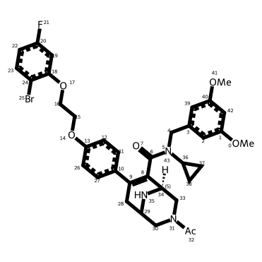 COc1cc(CN(C(=O)C2=C(c3ccc(OCCOc4cc(F)ccc4Br)cc3)CC3CN(C(C)=O)C[C@H]2N3)C2CC2)cc(OC)c1